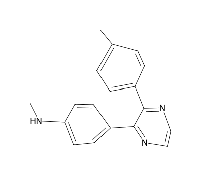 CNc1ccc(-c2nccnc2-c2ccc(C)cc2)cc1